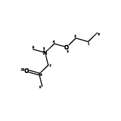 CCCOCN(C)CC(C)=O